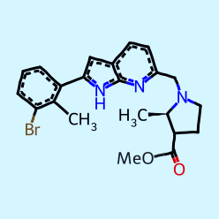 COC(=O)C1CCN(Cc2ccc3cc(-c4cccc(Br)c4C)[nH]c3n2)[C@@H]1C